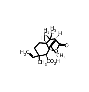 C=CC1(C)CC[C@H]2C(C)(C)[C@@H]3C=C(C)[C@]2(OC3=O)[C@H]1C(=O)O